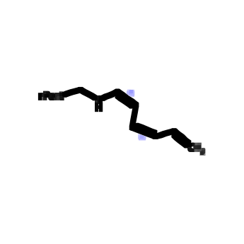 C=C/C=C\C=C/NCCCCCC